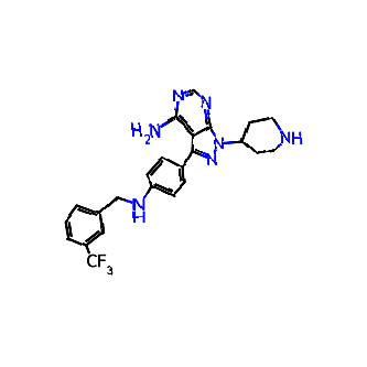 Nc1ncnc2c1c(-c1ccc(NCc3cccc(C(F)(F)F)c3)cc1)nn2C1CCNCC1